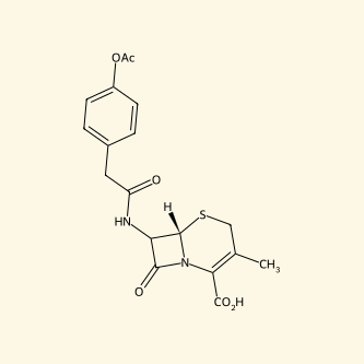 CC(=O)Oc1ccc(CC(=O)NC2C(=O)N3C(C(=O)O)=C(C)CS[C@@H]23)cc1